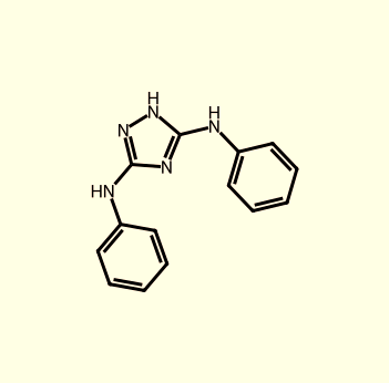 c1ccc(Nc2n[nH]c(Nc3ccccc3)n2)cc1